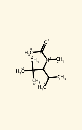 CC(=O)N(C)C(C(C)C)C(C)(C)C